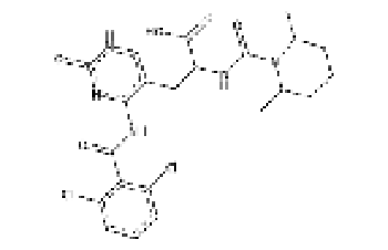 CC1CCCC(C)N1C(=O)NC(Cc1c[nH]c(=O)nc1NC(=O)c1c(Cl)cccc1Cl)C(=O)O